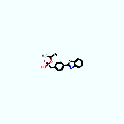 CC(C)C(C)OP(=O)(O)Cc1ccc(-c2nc3ccccc3s2)cc1